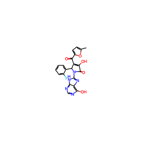 Cc1ccc(C(=O)C2=C(O)C(=O)N(c3nc4c(O)ncnc4[nH]3)C2c2ccccc2F)o1